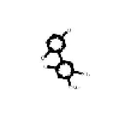 COc1cc(Cl)c(-c2cc(Cl)ccc2Cl)cc1N